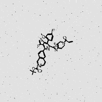 C=CC(=O)N1CCc2nc(-c3nc(-c4ccc5c(c4)CCN(C(=O)OC(C)(C)C)C5)c4c(F)csc4c3-c3ccc(F)cc3OC)sc2C1